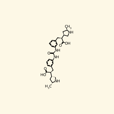 C[C@@H]1C[C@H]([C@H](Cc2cccc(NC(=O)Nc3cccc(C[C@H](C(=O)O)[C@@H]4CN[C@H](C)C4)c3)c2)C(=O)O)CN1